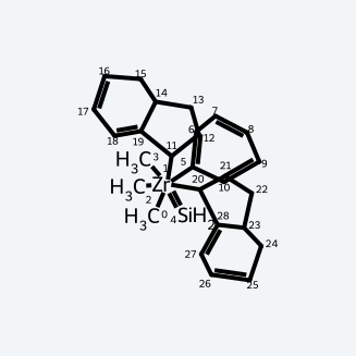 [CH3][Zr]([CH3])([CH3])(=[SiH2])([c]1ccccc1)([CH]1CCC2CC=CC=C21)[CH]1CCC2CC=CC=C21